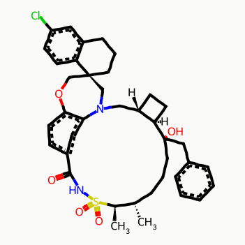 C[C@@H]1[C@@H](C)CCC[C@@](O)(Cc2ccccc2)[C@@H]2CC[C@H]2CN2C[C@@]3(CCCc4cc(Cl)ccc43)COc3ccc(cc32)C(=O)NS1(=O)=O